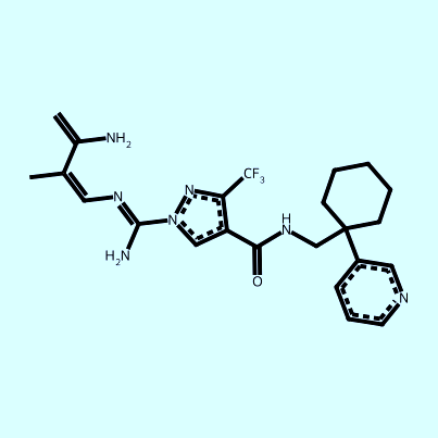 C=C(N)/C(C)=C\N=C(/N)n1cc(C(=O)NCC2(c3cccnc3)CCCCC2)c(C(F)(F)F)n1